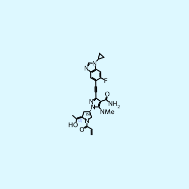 C=CC(=O)N1C[C@@H](n2nc(C#Cc3cc4ncn(C5CC5)c4cc3F)c(C(N)=O)c2NC)C/C1=C(\C)O